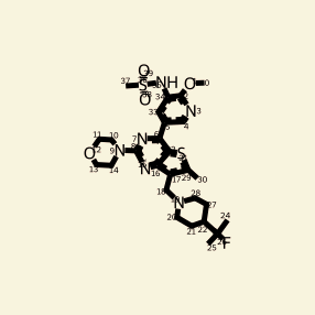 COc1ncc(-c2nc(N3CCOCC3)nc3c(CN4CCC(C(C)(C)F)CC4)c(C)sc23)cc1NS(C)(=O)=O